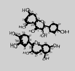 O=c1c(O)c(-c2ccc(O)cc2)oc2cc(O)cc(O)c12.Oc1cc(O)c2cc(O)c(-c3ccc(O)c(O)c3)[o+]c2c1